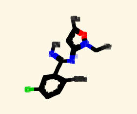 COc1ccc(Cl)cc1C(=NC#N)/N=c1\cc(C(C)(C)C)on1CC(C)C